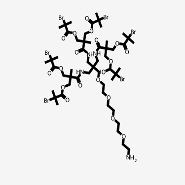 CC(C)(Br)C(=O)OCC(C)(COC(=O)C(C)(C)Br)C(=O)NCC(CNC(=O)C(C)(COC(=O)C(C)(C)Br)COC(=O)C(C)(C)Br)(CNC(=O)C(C)(COC(=O)C(C)(C)Br)COC(O)C(C)(C)Br)COCCOCCOCCOCCN